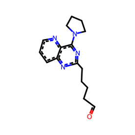 O=CCCCCc1nc(N2CCCC2)c2ncccc2n1